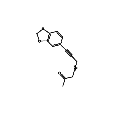 CC(=O)C[SH2]CC#Cc1ccc2c(c1)OCO2